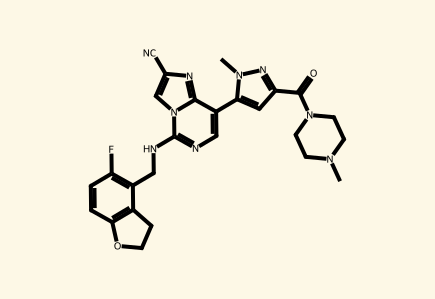 CN1CCN(C(=O)c2cc(-c3cnc(NCc4c(F)ccc5c4CCO5)n4cc(C#N)nc34)n(C)n2)CC1